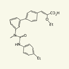 CCOC(=Cc1ccc(-c2cccc(N(C)C(=O)Nc3ccc(CC)cc3)c2)cc1)C(=O)O